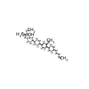 C=CC(O)N(C)CC1CCC(C2CCC(c3ccc(C4CCC(CCCCC)CC4)c(CC)c3)CC2)CC1